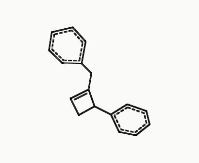 C1=C(Cc2ccccc2)C(c2ccccc2)C1